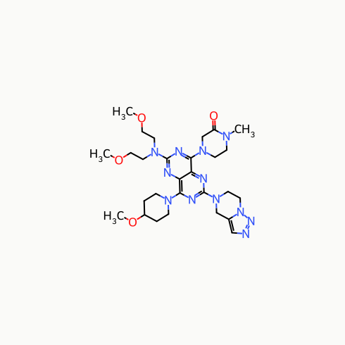 COCCN(CCOC)c1nc(N2CCN(C)C(=O)C2)c2nc(N3CCn4nncc4C3)nc(N3CCC(OC)CC3)c2n1